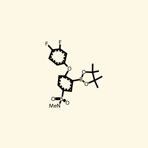 CNS(=O)(=O)c1ccc(Oc2ccc(F)c(F)c2)c(B2OC(C)(C)C(C)(C)O2)c1